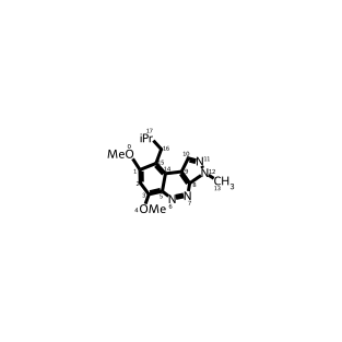 COc1cc(OC)c2nnc3c(cnn3C)c2c1CC(C)C